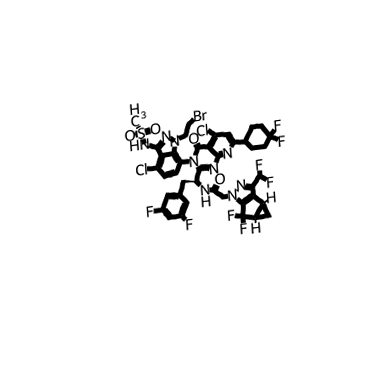 CS(=O)(=O)Nc1nn(CCBr)c2c(-n3c([C@H](Cc4cc(F)cc(F)c4)NC(=O)Cn4nc(C(F)F)c5c4C(F)(F)[C@@H]4C[C@H]54)nc4nc(C5CCC(F)(F)CC5)cc(Cl)c4c3=O)ccc(Cl)c12